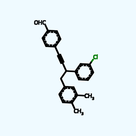 Cc1ccc(CC(C#Cc2ccc(C=O)cc2)c2cccc(Cl)c2)cc1C